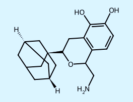 NCC1OC([C@]23CC4C[C@H](C[C@@H](C4)C2)C3)Cc2c1ccc(O)c2O